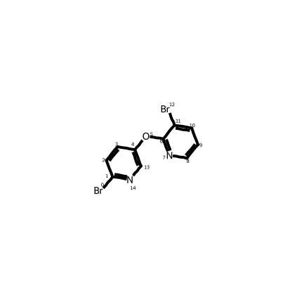 Brc1ccc(Oc2ncccc2Br)cn1